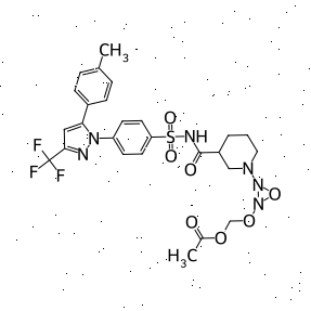 CC(=O)OCOn1on1N1CCCC(C(=O)NS(=O)(=O)c2ccc(-n3nc(C(F)(F)F)cc3-c3ccc(C)cc3)cc2)C1